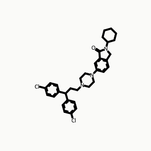 O=C1c2cc(N3CCN(CCC(c4ccc(Cl)cc4)c4ccc(Cl)cc4)CC3)ccc2CN1C1CCCCC1